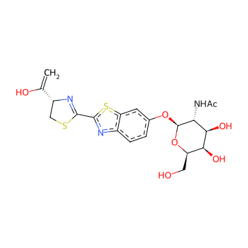 C=C(O)[C@H]1CSC(c2nc3ccc(O[C@@H]4O[C@H](CO)[C@H](O)[C@H](O)[C@H]4NC(C)=O)cc3s2)=N1